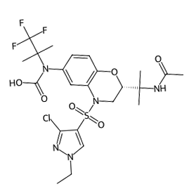 CCn1cc(S(=O)(=O)N2C[C@@H](C(C)(C)NC(C)=O)Oc3ccc(N(C(=O)O)C(C)(C)C(F)(F)F)cc32)c(Cl)n1